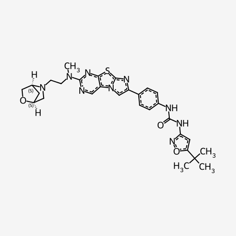 CN(CCN1C[C@@H]2C[C@H]1CO2)c1ncc2c(n1)sc1nc(-c3ccc(NC(=O)Nc4cc(C(C)(C)C)on4)cc3)cn12